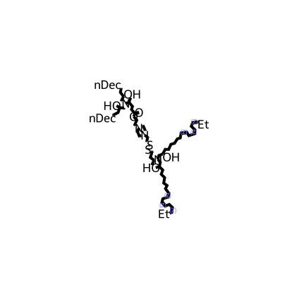 CC/C=C\C/C=C\C/C=C\CCCCCCC(O)CN(CC(O)CCCCCC/C=C\C/C=C\C/C=C\CC)C(C)CCSSCCN1CCN(CCOC(=O)CCC(C)N(CC(O)CCCCCCCCCCCC)CC(O)CCCCCCCCCCCC)CC1